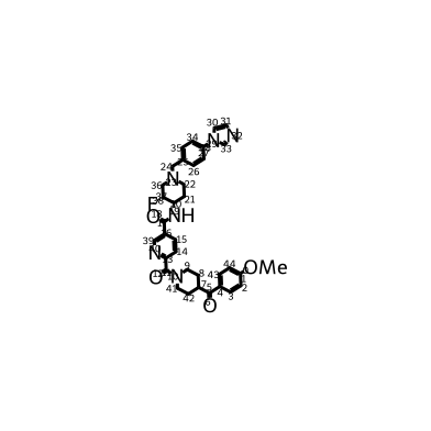 COc1ccc(C(=O)C2CCN(C(=O)c3ccc(C(=O)N[C@@H]4CCN(Cc5ccc(-n6ccnc6)cc5)C[C@H]4F)cn3)CC2)cc1